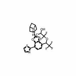 CC(O)C(F)(F)OC(c1ccc(-c2nccs2)c2oc(N3CC4CC(C3)N4)nc12)C(F)(F)F